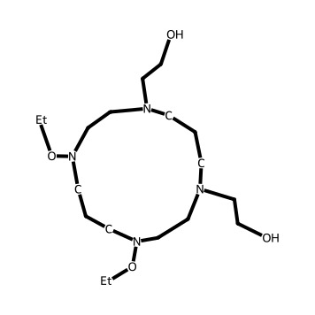 CCON1CCCN(OCC)CCN(CCO)CCCN(CCO)CC1